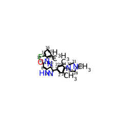 Cc1cc(-c2n[nH]c3cc(=O)n(-c4c(C)cccc4F)nc23)cc(C)c1N1CCN(C)CC1